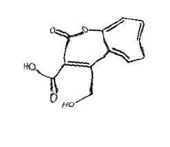 O=C(O)c1c(CO)c2ccccc2oc1=O